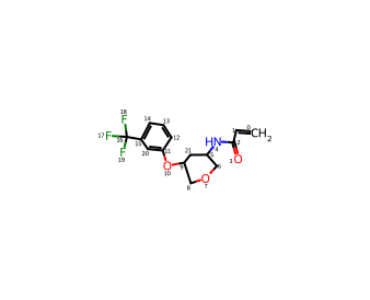 C=CC(=O)NC1COCC(Oc2cccc(C(F)(F)F)c2)C1